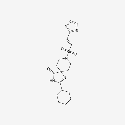 O=C1NC(C2CCCCC2)=NC12CCN(S(=O)(=O)/C=C/c1nccs1)CC2